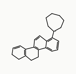 C1=CC2=C(CC1)CCc1c2ccc2c([C]3CCCCCC3)cccc12